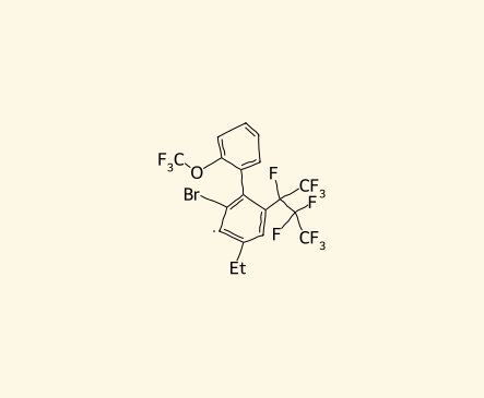 CCc1[c]c(Br)c(-c2ccccc2OC(F)(F)F)c(C(F)(C(F)(F)F)C(F)(F)C(F)(F)F)c1